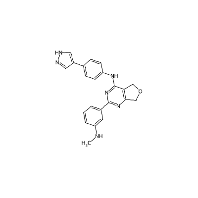 CNc1cccc(-c2nc3c(c(Nc4ccc(-c5cn[nH]c5)cc4)n2)COC3)c1